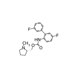 CN1CCC[C@H]1COC(=O)Nc1ccc(F)cc1-c1cccc(F)c1